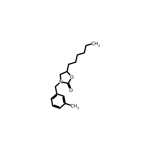 CCCCCCC1CN(Cc2cccc(C)c2)C(=O)O1